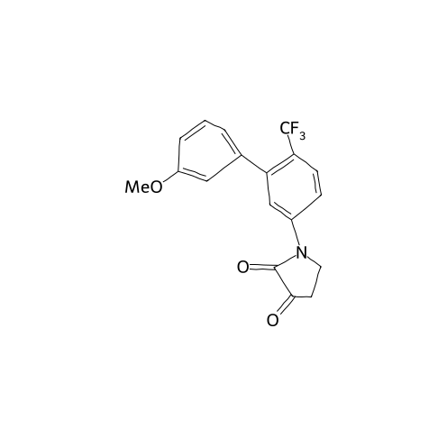 COc1cccc(-c2cc(N3CCC(=O)C3=O)ccc2C(F)(F)F)c1